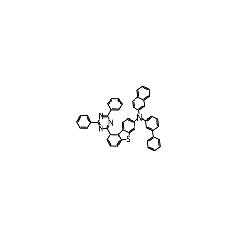 c1ccc(-c2cccc(N(c3ccc4ccccc4c3)c3ccc4c(c3)sc3cccc(-c5nc(-c6ccccc6)nc(-c6ccccc6)n5)c34)c2)cc1